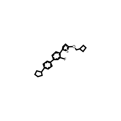 Fc1cc(-c2ccc(C3CCCC3)cc2)ccc1-c1ccc(OCC2CCC2)s1